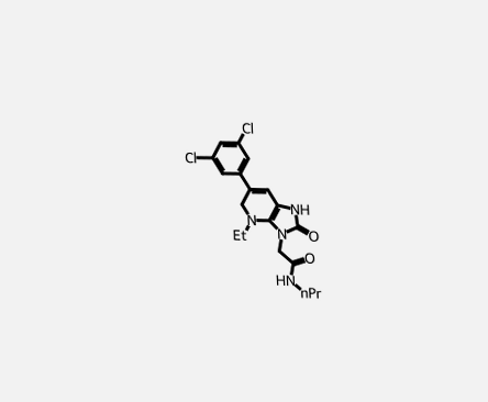 CCCNC(=O)Cn1c2c([nH]c1=O)C=C(c1cc(Cl)cc(Cl)c1)CN2CC